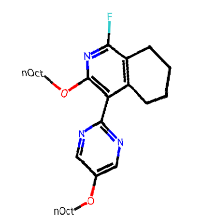 CCCCCCCCOc1cnc(-c2c(OCCCCCCCC)nc(F)c3c2CCCC3)nc1